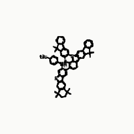 CC(C)(C)c1ccc(Nc2cc3sc4cc5c(cc4c3cc2-c2ccc3c4cc6c(cc4n4c3c2Bc2cc3c(cc2-4)-c2ccccc2C3(C)C)-c2ccccc2C6(C)C)C(C)(C)CCC5(C)C)cc1